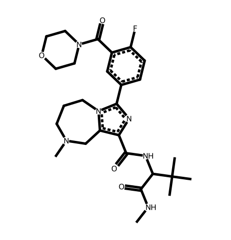 CNC(=O)C(NC(=O)c1nc(-c2ccc(F)c(C(=O)N3CCOCC3)c2)n2c1CN(C)CCC2)C(C)(C)C